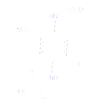 CCOC(=O)Nc1cc(I)c(NS(C)(=O)=O)cc1OC